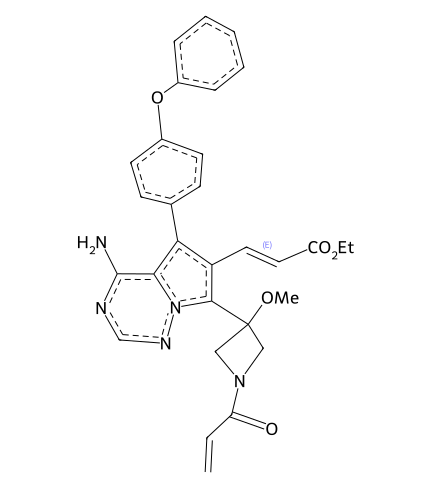 C=CC(=O)N1CC(OC)(c2c(/C=C/C(=O)OCC)c(-c3ccc(Oc4ccccc4)cc3)c3c(N)ncnn23)C1